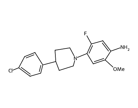 COc1cc(N2CCC(c3ccc(Cl)cc3)CC2)c(F)cc1N